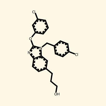 OCCCc1ccc2nc(Oc3cccc(Cl)c3)n(Cc3ccc(Cl)cc3)c2c1